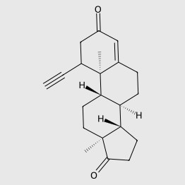 C#CC1CC(=O)C=C2CC[C@H]3[C@@H]4CCC(=O)[C@@]4(C)CC[C@@H]3[C@]21C